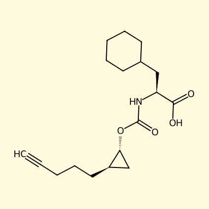 C#CCCC[C@@H]1C[C@H]1OC(=O)N[C@@H](CC1CCCCC1)C(=O)O